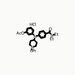 CCCN1CCC(N(c2ccc(C(=O)N(CC)CC)cc2)c2cccc(OC(C)=O)c2)CC1.Cl